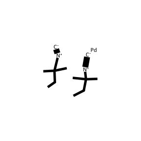 [C-]#[N+]C(C)(C)CC.[C-]#[N+]C(C)(C)CC.[Pd]